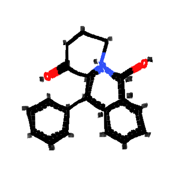 O=C1CCCn2c1c(-c1ccccc1)c1ccccc1c2=O